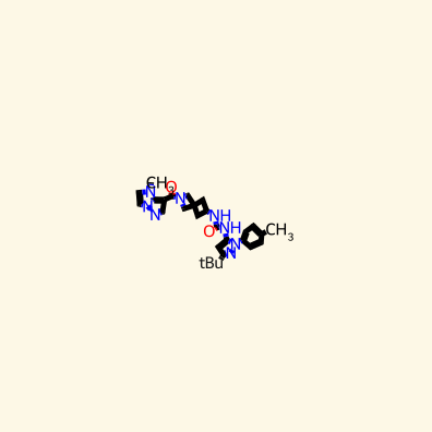 Cc1ccc(-n2nc(C(C)(C)C)cc2NC(=O)NC2CC3(C2)CN(C(=O)c2cnn4ccn(C)c24)C3)cc1